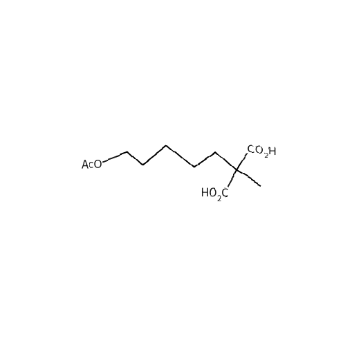 CC(=O)OCCCCCC(C)(C(=O)O)C(=O)O